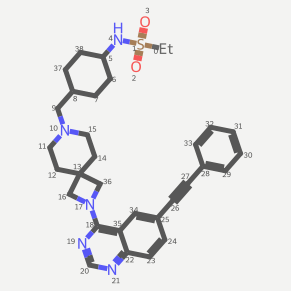 CCS(=O)(=O)NC1CCC(CN2CCC3(CC2)CN(c2ncnc4ccc(C#Cc5ccccc5)cc24)C3)CC1